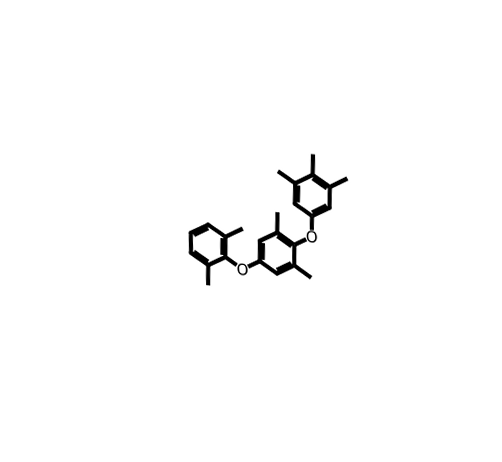 Cc1cc(Oc2c(C)cc(Oc3c(C)cccc3C)cc2C)cc(C)c1C